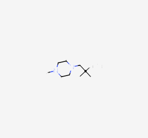 CCCCC(C)(C)CN1CCN(C)CC1